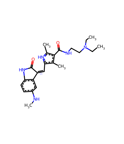 CCN(CC)CCNC(=O)c1c(C)[nH]c(/C=C2\C(=O)Nc3ccc(NC)cc32)c1C